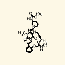 CC#CCn1c(N2CCCC(NC(=O)OC(C)(C)C)C2)nc2c1c(=O)n(CC(=O)c1ccccc1OCC(=O)NCC)c(=O)n2C